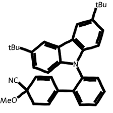 COC1(C#N)C=CC(c2ccccc2-n2c3ccc(C(C)(C)C)cc3c3cc(C(C)(C)C)ccc32)=CC1